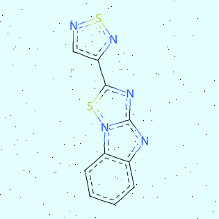 c1ccc2c(c1)nc1nc(-c3cnsn3)sn12